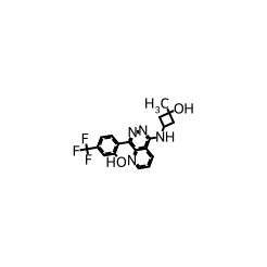 CC1(O)CC(Nc2nnc(-c3ccc(C(F)(F)F)cc3O)c3ncccc23)C1